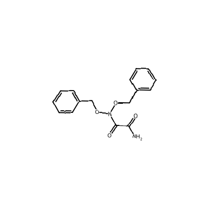 NC(=O)C(=O)N(OCc1ccccc1)OCc1ccccc1